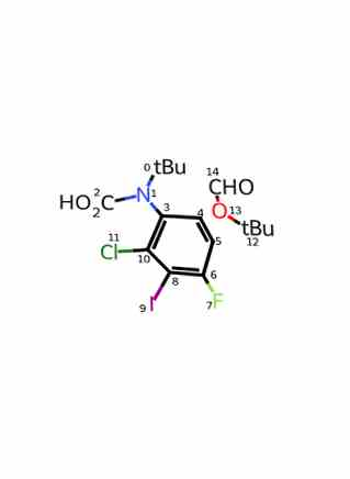 CC(C)(C)N(C(=O)O)c1ccc(F)c(I)c1Cl.CC(C)(C)OC=O